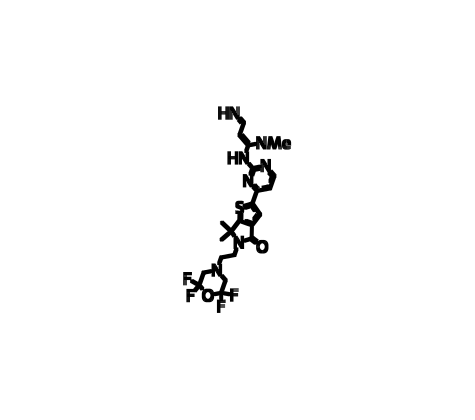 CN/C(=C\C=N)Nc1nccc(-c2cc3c(s2)C(C)(C)N(CCN2CC(F)(F)OC(F)(F)C2)C3=O)n1